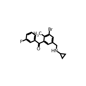 Cc1c(Br)cc(CNC2CC2)cc1C(=O)c1cccc(F)c1